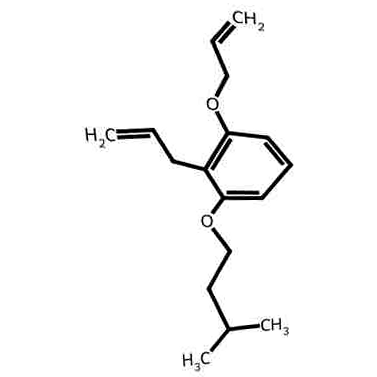 C=CCOc1cccc(OCCC(C)C)c1CC=C